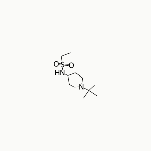 CCS(=O)(=O)NC1CCN(C(C)(C)C)CC1